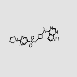 CN(c1ncnc2[nH]ccc12)C1CC(CS(=O)(=O)c2cnc(N3CCCC3)nc2)C1